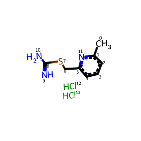 Cc1cccc(CSC(=N)N)n1.Cl.Cl